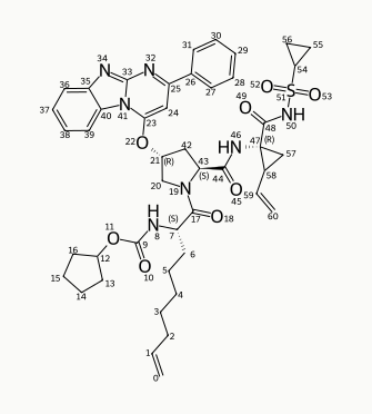 C=CCCCCC[C@H](NC(=O)OC1CCCC1)C(=O)N1C[C@H](Oc2cc(-c3ccccc3)nc3nc4ccccc4n23)C[C@H]1C(=O)N[C@]1(C(=O)NS(=O)(=O)C2CC2)CC1C=C